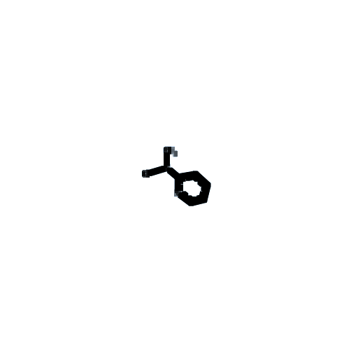 CN(Cl)c1ccccn1